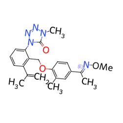 C=C(C)c1cccc(-n2nnn(C)c2=O)c1COc1ccc(/C(C)=N/OC)cc1C